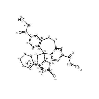 CNC(=O)c1ccc2c(c1)CCc1cc(C(=O)NC)ccc1C2(C[C@@H](C)N)c1nc(=O)on1C1CCCCC1